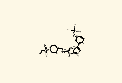 CCS(=O)(=O)N1CCC(CNc2nn3c(-c4cccc(OC(F)(F)F)c4)cnc3s2)CC1